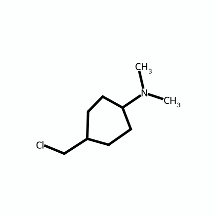 CN(C)C1CCC(CCl)CC1